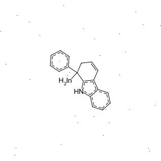 [InH2][C]1(c2ccccc2)CC=Cc2c1[nH]c1ccccc21